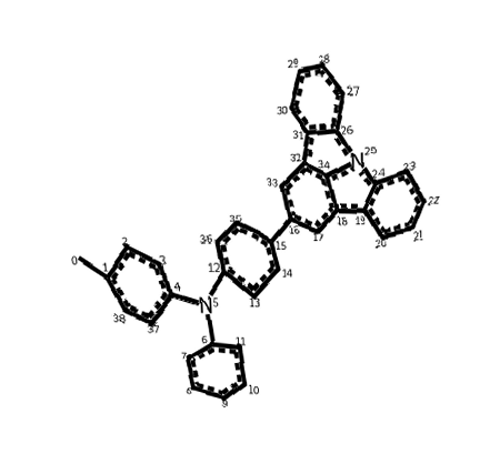 Cc1ccc(N(c2ccccc2)c2ccc(-c3cc4c5ccccc5n5c6ccccc6c(c3)c45)cc2)cc1